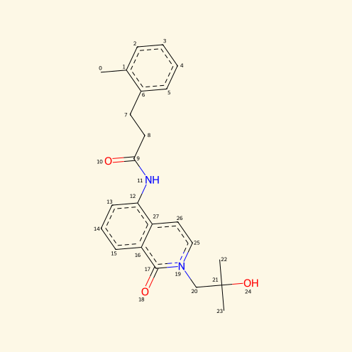 Cc1ccccc1CCC(=O)Nc1cccc2c(=O)n(CC(C)(C)O)ccc12